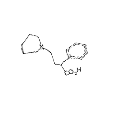 O=C(O)C(CCN1CCCCC1)c1ccccc1